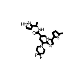 Cc1ccc(-c2cnc3c(N4CCC(F)(F)CC4)cc(C(=O)NC(C)c4cc[nH]n4)cn23)s1